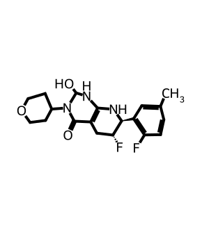 Cc1ccc(F)c([C@@H]2NC3=C(C[C@H]2F)C(=O)N(C2CCOCC2)C(O)N3)c1